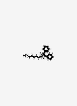 SCCCCCC1=NC(c2ccccc2)=C(c2ccccc2)[N]1